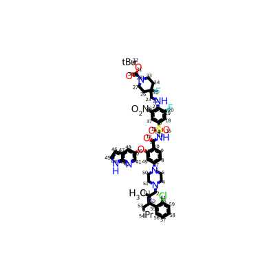 C/C(CN1CCN(c2ccc(C(=O)NS(=O)(=O)c3cc(F)c(NCC4(F)CCN(C(=O)OC(C)(C)C)CC4)c([N+](=O)[O-])c3)c(Oc3cnc4[nH]ccc4c3)c2)CC1)=C(\CC(C)C)c1ccccc1Cl